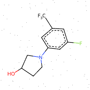 OC1CCN(c2cc(F)cc(C(F)(F)F)c2)C1